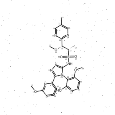 COC1=NC(c2nnc(NS(=O)(=O)[C@@H](C)[C@H](OC)c3ncc(C)cn3)n2-c2c(OC)ccnc2O)=C=C=C1